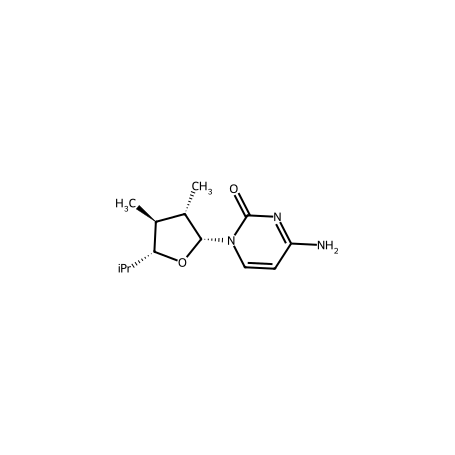 CC(C)[C@H]1O[C@@H](n2ccc(N)nc2=O)[C@@H](C)[C@@H]1C